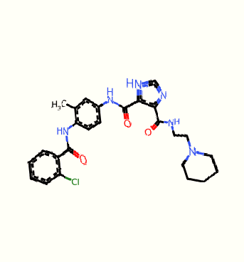 Cc1cc(NC(=O)c2[nH]cnc2C(=O)NCCN2CCCCC2)ccc1NC(=O)c1ccccc1Cl